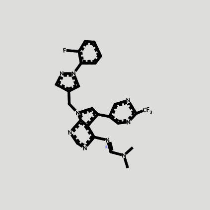 CN(C)/C=N/c1ncnc2c1c(-c1cnc(C(F)(F)F)nc1)cn2Cc1cnn(-c2ccccc2F)c1